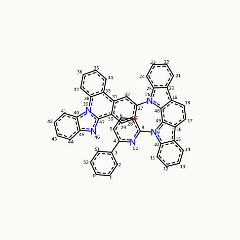 c1ccc(-c2cccc(-n3c4ccccc4c4ccc5c6ccccc6n(-c6ccc7c(c6)c6ccccc6n6c8ccccc8nc76)c5c43)n2)cc1